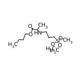 CCCCOC(=O)C(C)NCCC[Si](OC)(OC)OC